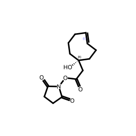 O=C(C[C@]1(O)CC/C=C/CCC1)ON1C(=O)CCC1=O